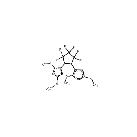 COc1cc(C2C(c3cc(OC)sc3OC)C(F)(F)C(F)(F)C2(F)F)c(OC)s1